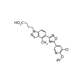 Cc1c(-c2noc(-c3cnc(OC(C)C)c(Cl)c3)n2)ccc2c1cnn2CCCC(=O)O